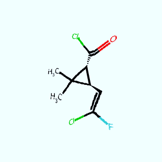 CC1(C)[C@H](C=C(F)Cl)[C@H]1C(=O)Cl